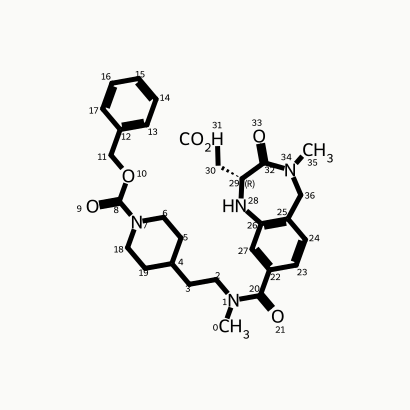 CN(CCC1CCN(C(=O)OCc2ccccc2)CC1)C(=O)c1ccc2c(c1)N[C@H](CC(=O)O)C(=O)N(C)C2